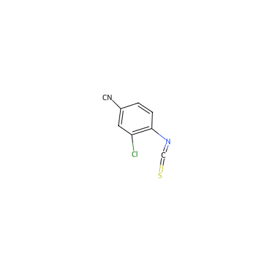 [C-]#[N+]c1ccc(N=C=S)c(Cl)c1